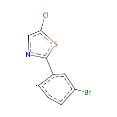 Clc1cnc(-c2[c]ccc(Br)c2)s1